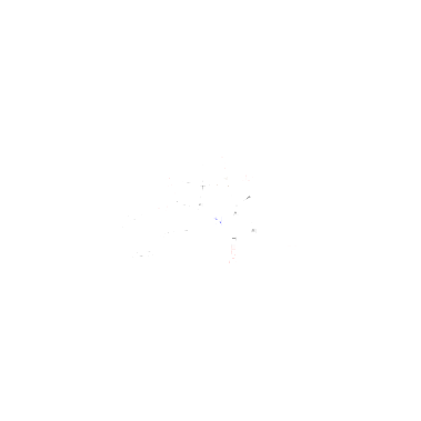 CC1(C)[C@](Cc2ccccc2)(C(=O)O)N2C(=O)[C@@H](CO)[C@H]2S1(=O)=O